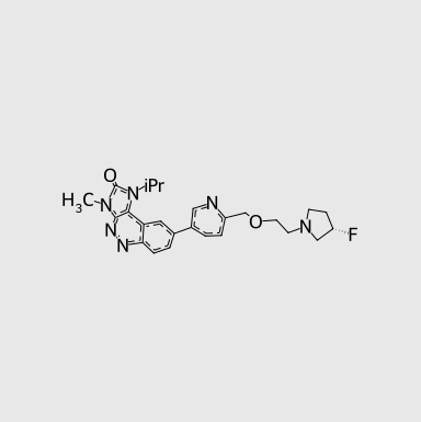 CC(C)n1c(=O)n(C)c2nnc3ccc(-c4ccc(COCCN5CC[C@H](F)C5)nc4)cc3c21